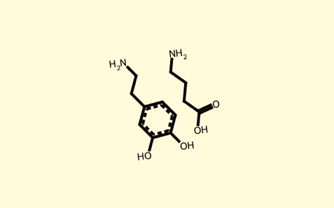 NCCCC(=O)O.NCCc1ccc(O)c(O)c1